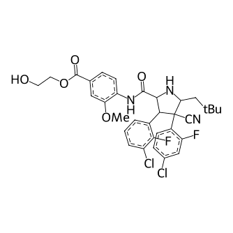 COc1cc(C(=O)OCCO)ccc1NC(=O)C1NC(CC(C)(C)C)C(C#N)(c2ccc(Cl)cc2F)C1c1cccc(Cl)c1F